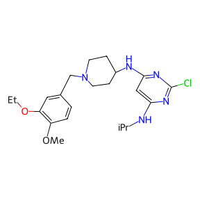 CCOc1cc(CN2CCC(Nc3cc(NC(C)C)nc(Cl)n3)CC2)ccc1OC